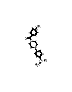 C=[N+]([O-])c1ccc(N2CCN(C(=O)c3ccc(C(C)(C)C)cc3)CC2)cc1